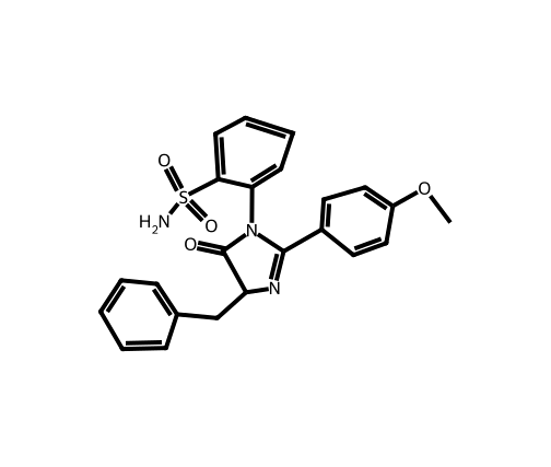 COc1ccc(C2=NC(Cc3ccccc3)C(=O)N2c2ccccc2S(N)(=O)=O)cc1